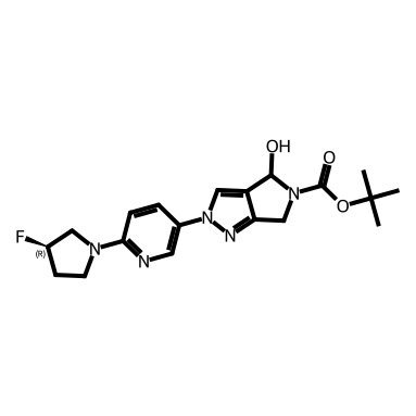 CC(C)(C)OC(=O)N1Cc2nn(-c3ccc(N4CC[C@@H](F)C4)nc3)cc2C1O